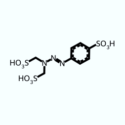 O=S(=O)(O)CN(CS(=O)(=O)O)N=Nc1ccc(S(=O)(=O)O)cc1